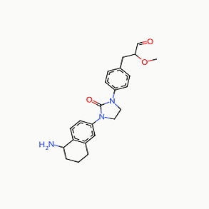 COC(C=O)Cc1ccc(N2CCN(c3ccc4c(c3)CCCC4N)C2=O)cc1